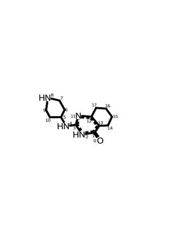 O=c1[nH]c(NC2CCNCC2)nc2c1CCCC2